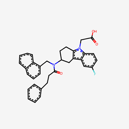 O=C(O)Cn1c2c(c3cc(F)ccc31)CC(N(Cc1cccc3ccccc13)C(=O)CCc1ccccc1)CC2